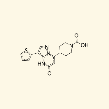 O=C(O)N1CCC(c2cc(=O)[nH]c3c(-c4cccs4)cnn23)CC1